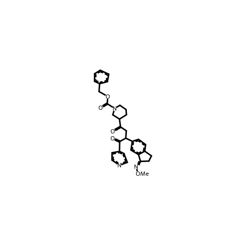 CO/N=C1\CCc2ccc(C(CC(=O)C3CCCN(C(=O)OCc4ccccc4)C3)C(=O)c3ccncc3)cc21